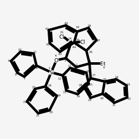 CCC(C[CH](O[Si](c1ccccc1)(c1ccccc1)c1ccccc1)[Zr]([Cl])[Cl])(C1C=Cc2ccccc21)C1C=Cc2ccccc21